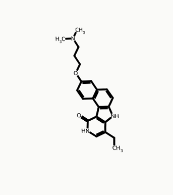 CCc1c[nH]c(=O)c2c1[nH]c1ccc3cc(OCCCN(C)C)ccc3c12